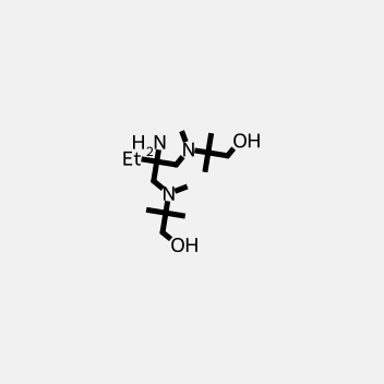 CCC(N)(CN(C)C(C)(C)CO)CN(C)C(C)(C)CO